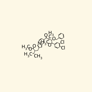 COC(=O)C(Cc1cc2cc(C(=O)C(C)(C)C(OCc3ccccc3)C(=O)c3ccc(Cl)c(Cl)c3)ccn2c1)C(C)C